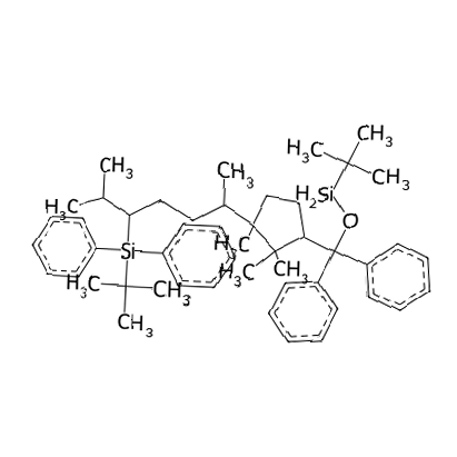 CC(C)C(CCC(C)C1(C)CCC(C(O[SiH2]C(C)(C)C)(c2ccccc2)c2ccccc2)C1(C)C)[Si](c1ccccc1)(c1ccccc1)C(C)(C)C